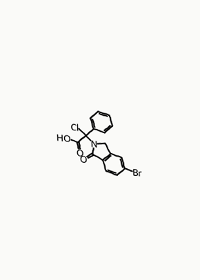 O=C1c2ccc(Br)cc2CN1C(Cl)(C(=O)O)c1ccccc1